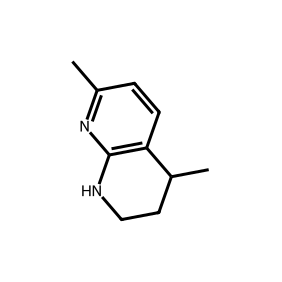 Cc1ccc2c(n1)NCCC2C